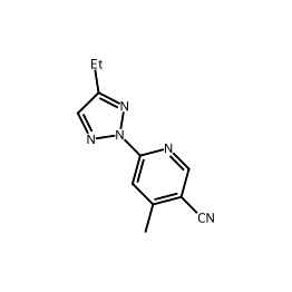 CCc1cnn(-c2cc(C)c(C#N)cn2)n1